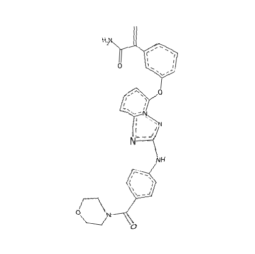 C=C(C(N)=O)c1cccc(Oc2cccc3nc(Nc4ccc(C(=O)N5CCOCC5)cc4)nn23)c1